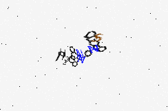 CC1(C)c2ccccc2-c2nc(-c3ccc(-n4c5ccccc5c5cc6sc7ccccc7c6cc54)cc3)nc(-c3ccccc3)c21